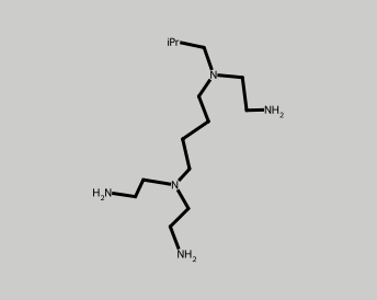 CC(C)CN(CCN)CCCCN(CCN)CCN